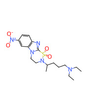 CCN(CC)CCCC(C)N1CCn2c(nc3ccc([N+](=O)[O-])cc32)S1(=O)=O